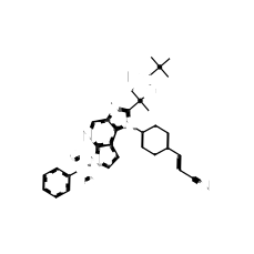 CC(C)(C)[SiH2]OC(C)(C)c1nc2cnc3c(ccn3S(=O)(=O)c3ccccc3)c2n1C1CCC(C=CC#N)CC1